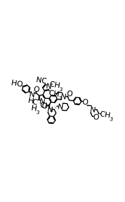 Cc1c(-c2c(C(=O)Nc3ccc(O)cc3)c(C)n(C)c2-c2cc3c(cc2C(=O)N2Cc4ccccc4C[C@H]2CN2CCCCC2)CN(C(=O)Cc2ccc(OCCN4CCO[C@H](C)C4)cc2)CC3)cc(C#N)n1C